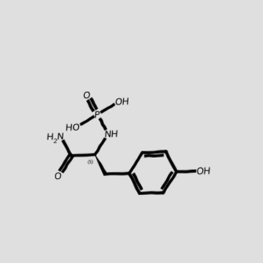 NC(=O)[C@H](Cc1ccc(O)cc1)NP(=O)(O)O